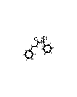 CCN(C(=O)CCc1ccccc1)c1ccccc1